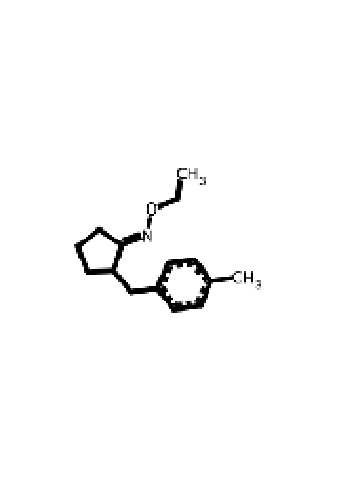 CCO/N=C1\CCCC1Cc1ccc(C)cc1